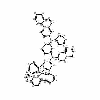 c1ccc(N(c2cccc(N(c3ccc4c(c3)-c3ccccc3C43c4ccccc4-c4ccc5ccccc5c43)c3ccc4ccccc4c3)c2)c2ccc3c(ccc4ccccc43)c2)cc1